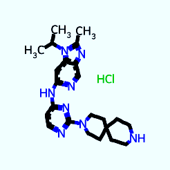 Cc1nc2cnc(Nc3ccnc(N4CCC5(CCNCC5)CC4)n3)cc2n1C(C)C.Cl